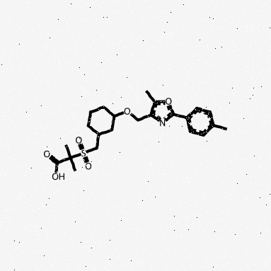 Cc1ccc(-c2nc(COC3CCCC(CS(=O)(=O)C(C)(C)C(=O)O)C3)c(C)o2)cc1